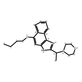 CCCCOc1cc2[nH]c(C(C)N3CCOCC3)nc2c2ccccc12